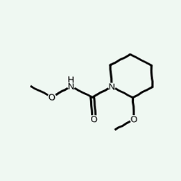 CONC(=O)N1CCCCC1OC